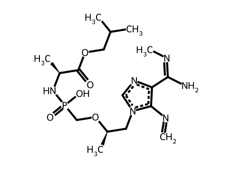 C=Nc1c(/C(N)=N\C)ncn1C[C@@H](C)OCP(=O)(O)N[C@@H](C)C(=O)OCC(C)C